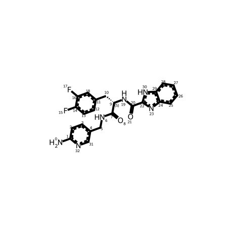 Nc1ccc(CNC(=O)[C@H](Cc2ccc(F)c(F)c2)NC(=O)c2nc3ccccc3[nH]2)cn1